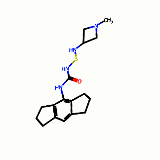 CN1CC(NSNC(=O)Nc2c3c(cc4c2CCC4)CCC3)C1